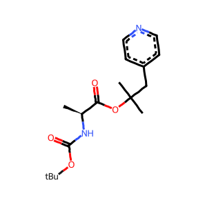 C[C@H](NC(=O)OC(C)(C)C)C(=O)OC(C)(C)Cc1ccncc1